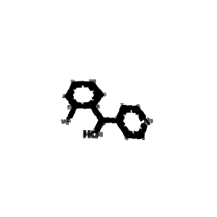 OC(c1ccncc1)c1ccccc1F